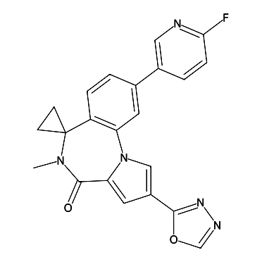 CN1C(=O)c2cc(-c3nnco3)cn2-c2cc(-c3ccc(F)nc3)ccc2C12CC2